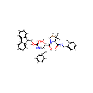 Cc1ccccc1CNC(=O)[C@H]1N(C(=O)[C@@H](O)[C@H](Cc2ccccc2)NC(=O)OCC2c3ccccc3-c3ccccc32)CSC1(C)C